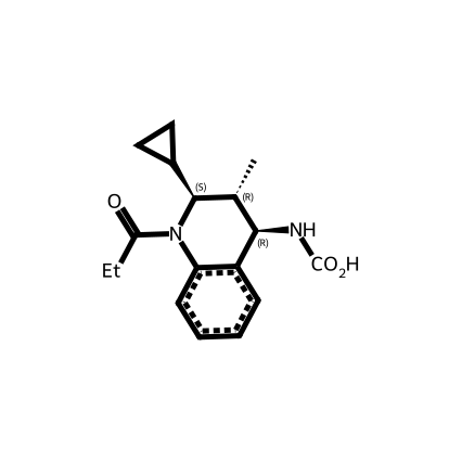 CCC(=O)N1c2ccccc2[C@H](NC(=O)O)[C@@H](C)[C@@H]1C1CC1